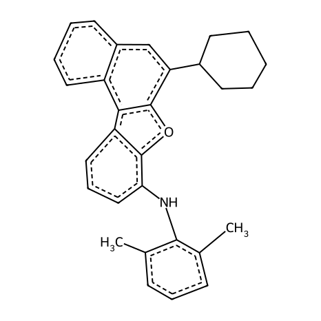 Cc1cccc(C)c1Nc1cccc2c1oc1c(C3CCCCC3)cc3ccccc3c12